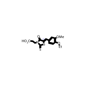 CCOc1ccc(/C=C2\SC(=S)N(CCC(=O)O)C2=O)cc1OC